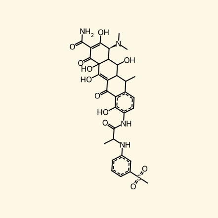 CC(Nc1cccc(S(C)(=O)=O)c1)C(=O)Nc1ccc2c(c1O)C(=O)C1=C(O)C3(O)C(=O)C(C(N)=O)=C(O)[C@@H](N(C)C)C3C(O)C1C2C